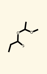 CCC([S])OC(C)OC